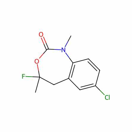 CN1C(=O)OC(C)(F)Cc2cc(Cl)ccc21